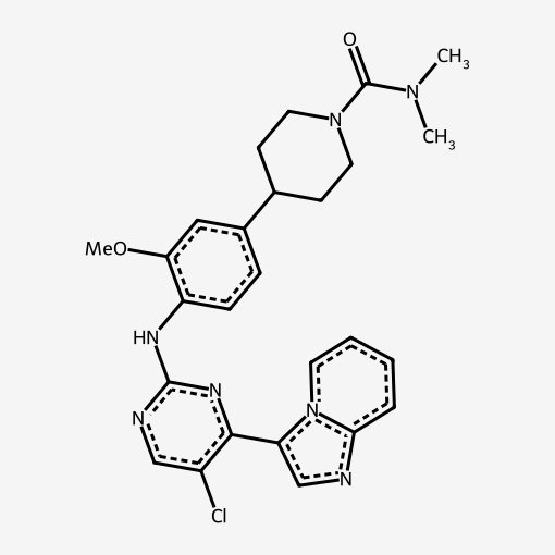 COc1cc(C2CCN(C(=O)N(C)C)CC2)ccc1Nc1ncc(Cl)c(-c2cnc3ccccn23)n1